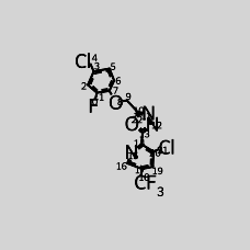 Fc1cc(Cl)ccc1OCc1nnc(-c2ncc(C(F)(F)F)cc2Cl)o1